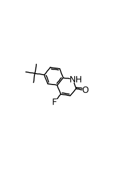 CC(C)(C)c1ccc2[nH]c(=O)cc(F)c2c1